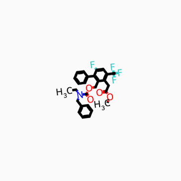 CCN(Cc1ccccc1)C(=O)OCc1c(CC(=O)OC)c(C(F)(F)F)cc(F)c1-c1ccccc1